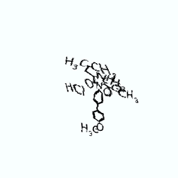 COC(=O)[C@H](C)N(C(=O)[C@@H](N)CC(C)C)c1ccc(-c2ccc(OC)cc2)cc1.Cl